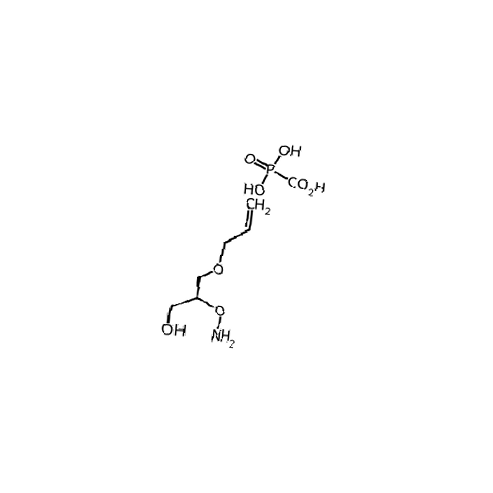 C=CCOC[C@H](CO)ON.O=C(O)P(=O)(O)O